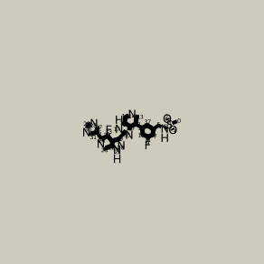 CS(=O)(=O)NCc1cc(F)cc(-c2cncc3[nH]c(-c4n[nH]c5cnc(-c6cncnc6)c(F)c45)nc23)c1